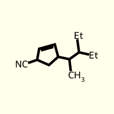 CCC(CC)C(C)C1C=CC(C#N)C1